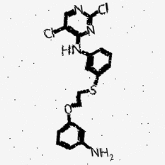 Nc1cccc(OCCSc2cccc(Nc3nc(Cl)ncc3Cl)c2)c1